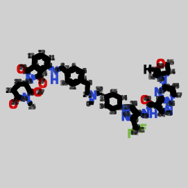 CN(CCc1ccc(CNc2cccc3c2C(=O)N(C2CCC(=O)N(C)C2=O)C3=O)cc1)C[C@H]1CC[C@H](n2cc(NC(=O)c3cnn4ccc(N5C[C@H]6CC5CO6)nc34)c(C(F)F)n2)CC1